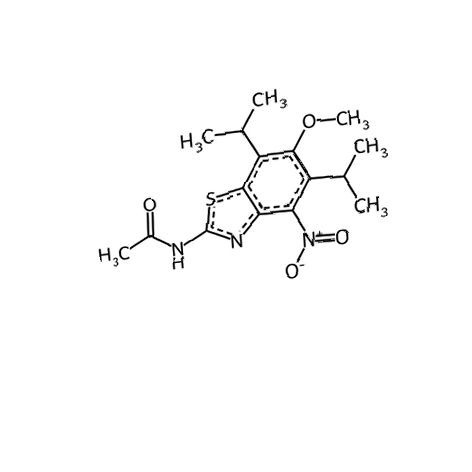 COc1c(C(C)C)c([N+](=O)[O-])c2nc(NC(C)=O)sc2c1C(C)C